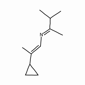 C/C(=C\N=C(/C)C(C)C)C1CC1